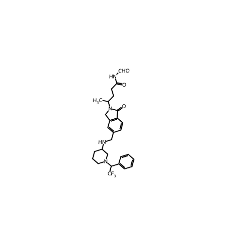 CC(CCC(=O)NC=O)N1Cc2cc(CNC3CCCN(C(c4ccccc4)C(F)(F)F)C3)ccc2C1=O